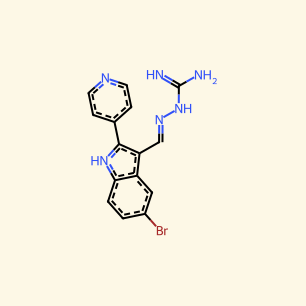 N=C(N)NN=Cc1c(-c2ccncc2)[nH]c2ccc(Br)cc12